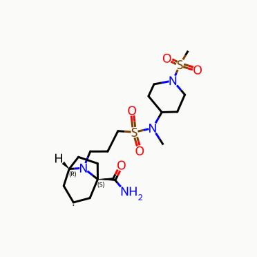 CN(C1CCN(S(C)(=O)=O)CC1)S(=O)(=O)CCCN1[C@@H]2C[CH]C[C@@]1(C(N)=O)CC2